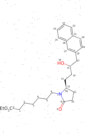 CCOC(=O)CCCCCCN1C(=O)CC[C@@H]1CCC(O)Cc1ccc2ccccc2c1